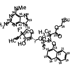 C#C[C@@]1(F)[C@H](O)[C@@H](CO[PH](=S)N(Oc2cccc3ccccc23)[C@@H](C)C(=O)OCC(C)(C)C)O[C@H]1n1cnc2c(NC)nc(N)nc21